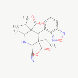 CCC1(C(=O)O)C(C#N)NC(C)C(C(=O)O)(C(C)C)C1c1cccc2nonc12